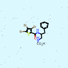 O=C(O)NCC(Cc1ccccc1)NC(=O)c1sc(Br)c(Br)c1Br